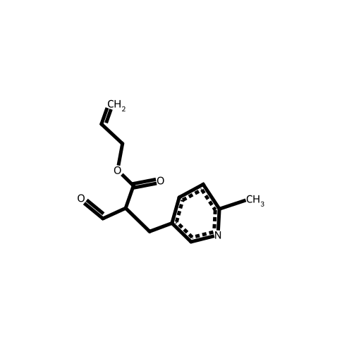 C=CCOC(=O)C(C=O)Cc1ccc(C)nc1